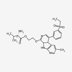 CCS(=O)(=O)c1cccc(C2=CN=C(OCCOC(=O)[C@@H](N)C(C)C)C3Nc4ncc(C)cc4C23)c1